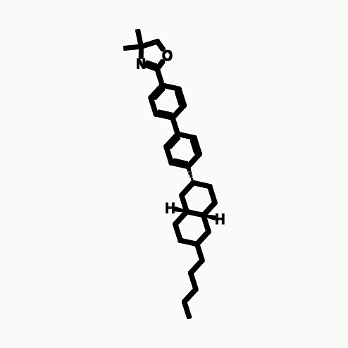 CCCCCC1CC[C@@H]2C[C@H](c3ccc(-c4ccc(C5=NC(C)(C)CO5)cc4)cc3)CC[C@@H]2C1